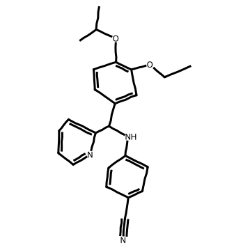 CCOc1cc(C(Nc2ccc(C#N)cc2)c2ccccn2)ccc1OC(C)C